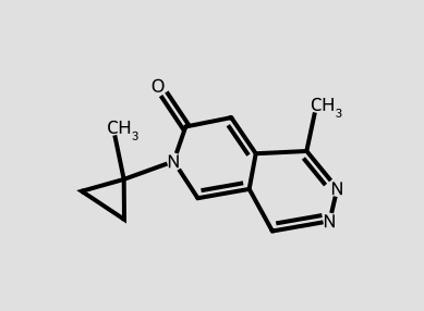 Cc1nncc2cn(C3(C)CC3)c(=O)cc12